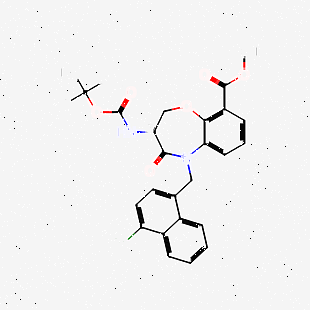 COC(=O)c1cccc2c1OC[C@H](NC(=O)OC(C)(C)C)C(=O)N2Cc1ccc(Br)c2ccccc12